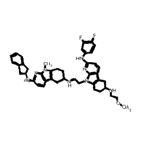 COCCNC1CCc2c(c3ccc(Nc4ccc(F)c(F)c4)nc3n2CCNC2CCc3c(c4ccc(NC5Cc6ccccc6C5)nc4n3C)C2)C1